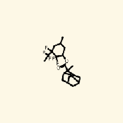 CC1CC(OC(=O)C2(C)C3CC4CC(C3)CC2C4)C(F)(F)C(F)(C(C)(F)F)C1